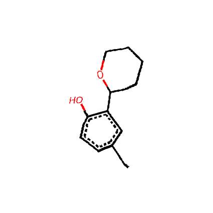 Cc1ccc(O)c(C2CCCCO2)c1